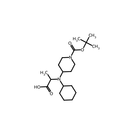 CC(C(=O)O)N(C1CCCCC1)C1CCN(C(=O)OC(C)(C)C)CC1